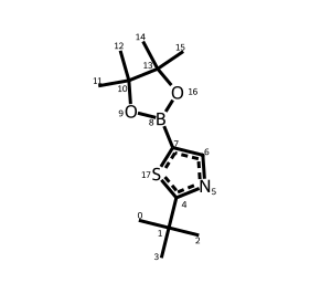 CC(C)(C)c1ncc(B2OC(C)(C)C(C)(C)O2)s1